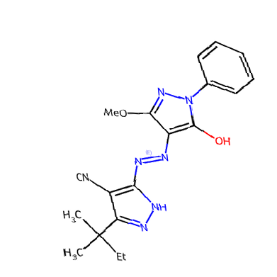 [C-]#[N+]c1c(C(C)(C)CC)n[nH]c1/N=N/c1c(OC)nn(-c2ccccc2)c1O